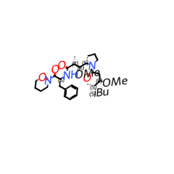 CC[C@H](C)[C@H](C)[C@@H](CC(=O)N1CCC[C@H]1[C@H](OC)[C@@H](C)C(=O)N[C@@H](Cc1ccccc1)C(=O)N1CCCCO1)OC